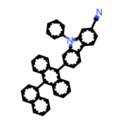 N#Cc1ccc2c3ccc(-c4c5ccccc5c(-c5cccc6ccccc56)c5ccccc45)cc3n(-c3ccccc3)c2c1